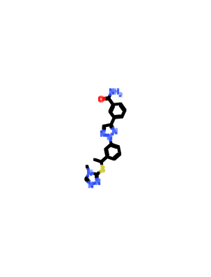 CC(Sc1nncn1C)c1cccc(-n2ncc(-c3cccc(C(N)=O)c3)n2)c1